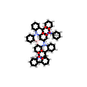 CC(C)(C)c1ccc(-c2ccccc2N2c3ccccc3B3c4ccc(-n5c6ccccc6c6ccccc65)cc4N(c4ccccc4-c4ccc(C(C)(C)C)cc4)c4cc(N(c5ccccc5)c5ccccc5)cc2c43)cc1